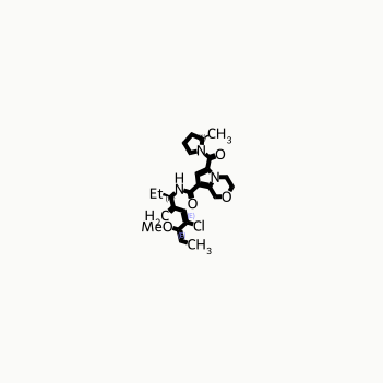 C=C(/C=C(Cl)\C(=C/C)OC)[C@@H](CC)NC(=O)c1cc(C(=O)N2CCC[C@@H]2C)n2c1COCC2